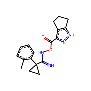 Cc1ccccc1C1(C(=N)NOC(=O)c2n[nH]c3c2CCC3)CC1